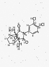 O=C1[C@@H]2[C@H](C(=O)N1c1ccc(Cl)c(Cl)c1)[C@H]1CC[C@@H]2O1